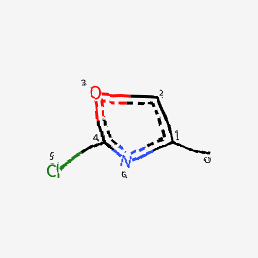 Cc1[c]oc(Cl)n1